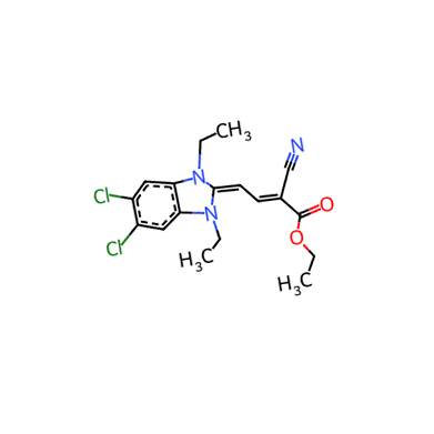 CCOC(=O)/C(C#N)=C/C=C1N(CC)c2cc(Cl)c(Cl)cc2N1CC